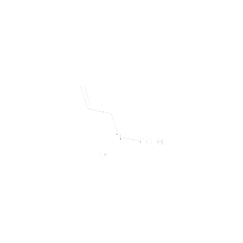 C=CCN([O])C(=O)O